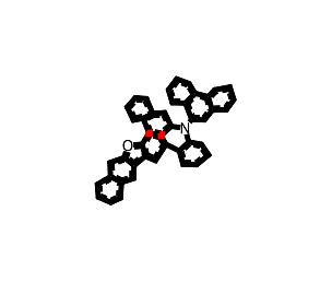 c1ccc(N(c2ccc3ccccc3c2)c2cc3ccccc3c3ccccc23)c(-c2ccc3oc4cc5ccccc5cc4c3c2)c1